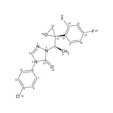 C[C@@H](n1ncn(-c2ccc(Cl)cc2)c1=O)[C@@]1(c2ccc(F)cc2F)CO1